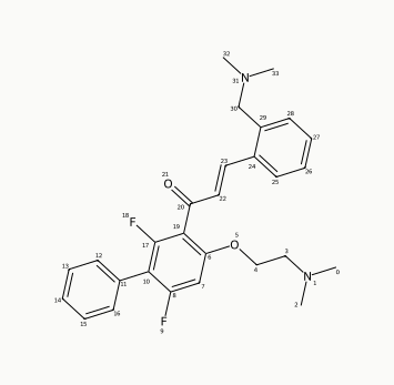 CN(C)CCOc1cc(F)c(-c2ccccc2)c(F)c1C(=O)C=Cc1ccccc1CN(C)C